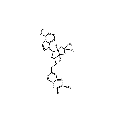 COc1ncnc2c1ccn2[C@@H]1C[C@H](CCc2ccc3cc(F)c(N)nc3c2)[C@H]2OC(C)(C)O[C@H]21